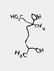 CC(O)CCCC(C)(O)C(=O)O